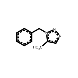 O=C(O)c1cnnn1Cc1ccccc1